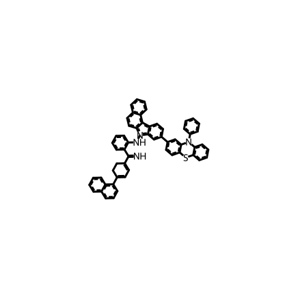 N=C(C1=CC=C(c2cccc3ccccc23)CC1)c1ccccc1Nn1c2cc(-c3ccc4c(c3)N(c3ccccc3)c3ccccc3S4)ccc2c2c3ccccc3ccc21